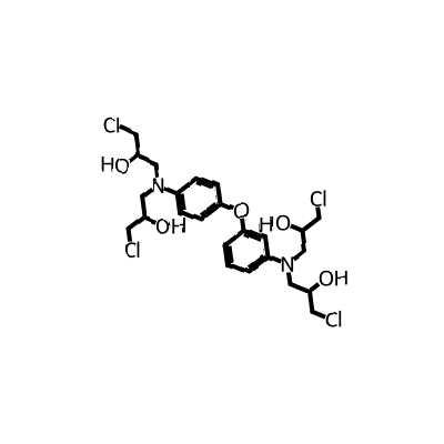 OC(CCl)CN(CC(O)CCl)c1ccc(Oc2cccc(N(CC(O)CCl)CC(O)CCl)c2)cc1